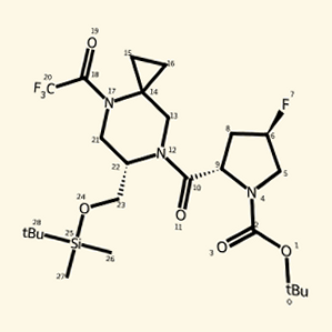 CC(C)(C)OC(=O)N1C[C@H](F)C[C@H]1C(=O)N1CC2(CC2)N(C(=O)C(F)(F)F)C[C@H]1CO[Si](C)(C)C(C)(C)C